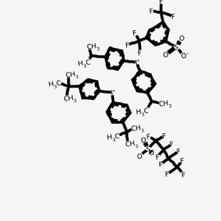 CC(C)(C)c1ccc([I+]c2ccc(C(C)(C)C)cc2)cc1.CC(C)c1ccc([I+]c2ccc(C(C)C)cc2)cc1.O=S(=O)([O-])C(F)(F)C(F)(F)C(F)(F)C(F)(F)F.O=S(=O)([O-])c1cc(C(F)(F)F)cc(C(F)(F)F)c1